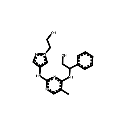 Cc1cnc(Nc2cnn(CCO)c2)nc1NC(CO)c1ccccc1